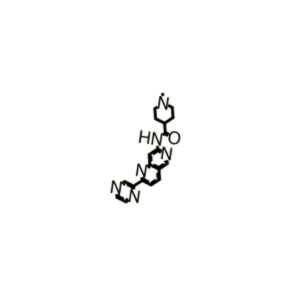 CN1CCC(C(=O)Nc2cc3nc(-c4cnccn4)ccc3cn2)CC1